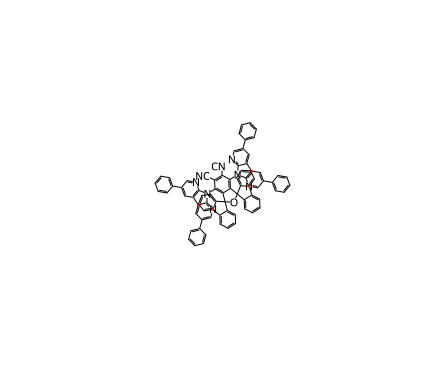 N#Cc1c(C#N)c(-n2c3ncc(-c4ccccc4)cc3c3cc(-c4ccccc4)cnc32)c2c(c1-n1c3ncc(-c4ccccc4)cc3c3cc(-c4ccccc4)cnc31)C1(OC23c2ccccc2-c2ccccc23)c2ccccc2-c2ccccc21